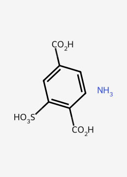 N.O=C(O)c1ccc(C(=O)O)c(S(=O)(=O)O)c1